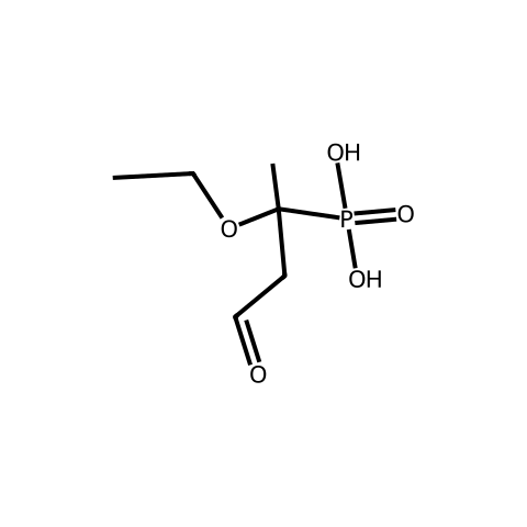 CCOC(C)(CC=O)P(=O)(O)O